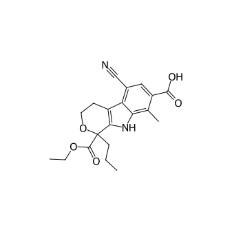 CCCC1(C(=O)OCC)OCCc2c1[nH]c1c(C)c(C(=O)O)cc(C#N)c21